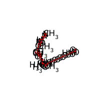 COc1cc2c(cc1OCCCCCOc1cc3c(cc1OC)C(=O)N1C=C(c4ccc(N5CCN(C)CC5)cc4)C[C@H]1C=N3)N=CC1CC(c3ccc(NC(=O)[C@H](C)NC(=O)[C@@H](NC(=O)CCOCCOCCOCCOCCOCCOCCOCCOCCNC(=O)CCN4C(=O)C=CC4=O)C(C)C)cc3)=CN1C2=O